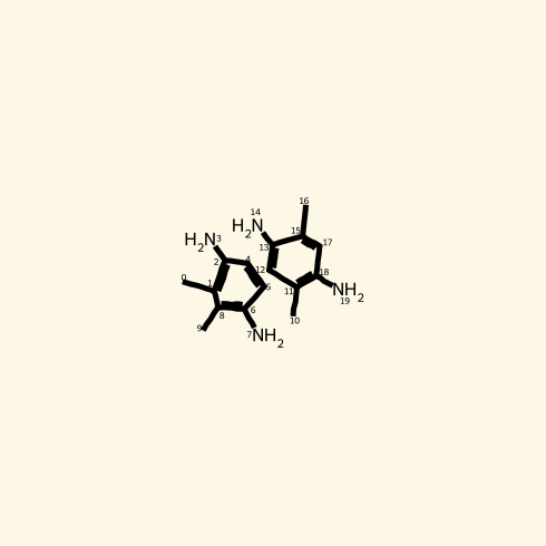 Cc1c(N)ccc(N)c1C.Cc1cc(N)c(C)cc1N